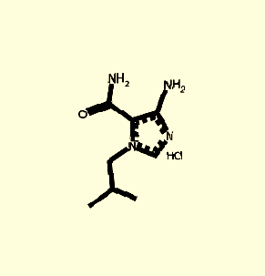 CC(C)Cn1cnc(N)c1C(N)=O.Cl